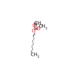 C=CCCCCCC=CO[SiH](OC)OC